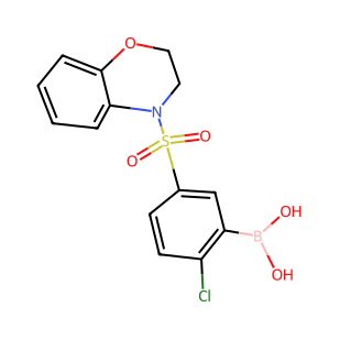 O=S(=O)(c1ccc(Cl)c(B(O)O)c1)N1CCOc2ccccc21